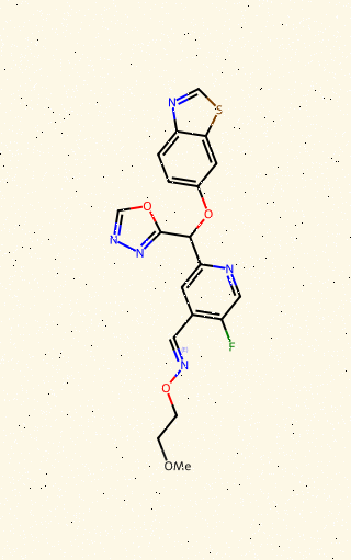 COCCO/N=C/c1cc(C(Oc2ccc3ncsc3c2)c2nnco2)ncc1F